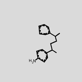 CC(CCC(C)c1ccc(N)cc1)c1ccccc1